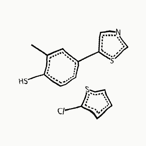 Cc1cc(-c2cncs2)ccc1S.Clc1cccs1